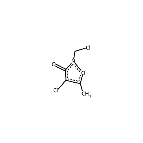 Cc1on(CCl)c(=O)c1Cl